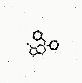 OC1CSC2=NC[N+](Cc3ccccc3)(c3ccccc3)CN21